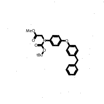 COC(=O)CN(C(=O)OC(C)(C)C)c1ccc(Oc2ccc(Cc3ccccc3)cc2)cc1